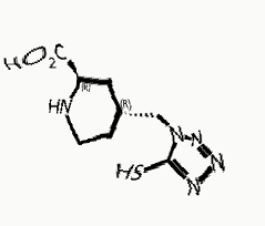 O=C(O)[C@H]1C[C@H](Cn2nnnc2S)CCN1